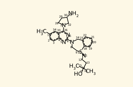 Cc1ccc2nc(N3CCS(=NCCC(C)(C)O)c4ccccc4C3)nc(N3CC[C@@H](N)C3)c2c1